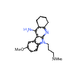 CNCCCn1c2ccc(OC)cc2c2c(N)c3c(nc21)CCCC3